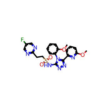 COc1cccc(-c2nnc(NS(=O)(=O)CCc3ncc(F)cn3)n2-c2ccccc2OC)n1